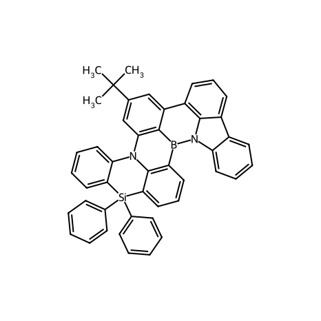 CC(C)(C)c1cc2c3c(c1)N1c4ccccc4[Si](c4ccccc4)(c4ccccc4)c4cccc(c41)B3n1c3ccccc3c3cccc-2c31